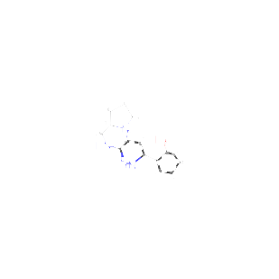 Oc1ccccc1-c1cc2c(nn1)NCC1CCCN21